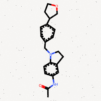 CC(=O)Nc1ccc2c(c1)CCN2Cc1ccc(C2CCOC2)cc1